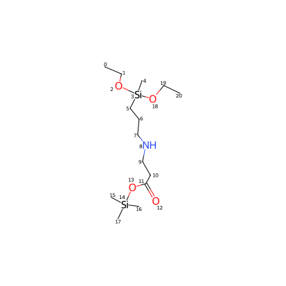 CCO[Si](C)(CCCNCCC(=O)O[Si](C)(C)C)OCC